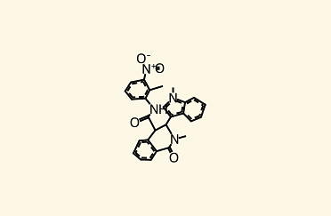 Cc1c(NC(=O)C2c3ccccc3C(=O)N(C)C2c2cn(C)c3ccccc23)cccc1[N+](=O)[O-]